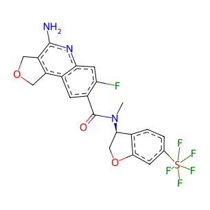 CN(C(=O)c1cc2c3c(c(N)nc2cc1F)COC3)[C@@H]1COc2cc(S(F)(F)(F)(F)F)ccc21